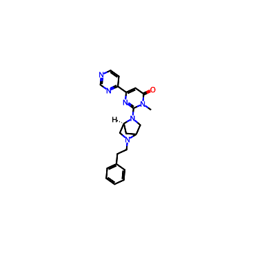 Cn1c(N2CC3C[C@H]2CN3CCc2ccccc2)nc(-c2ccncn2)cc1=O